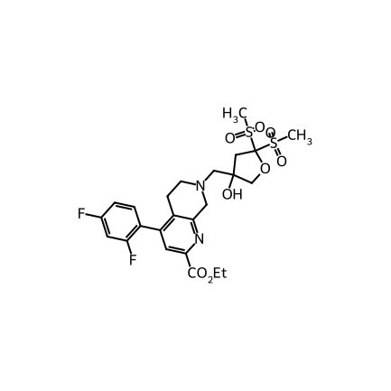 CCOC(=O)c1cc(-c2ccc(F)cc2F)c2c(n1)CN(CC1(O)COC(S(C)(=O)=O)(S(C)(=O)=O)C1)CC2